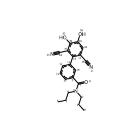 CCCN(CCC)C(=O)c1cccc(-c2c(C#N)cc(O)c(O)c2C#N)c1